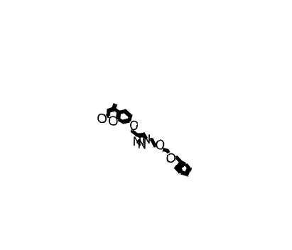 Cc1cc(=O)oc2cc(OCc3cn(CCOCCOCC4CC5C=CC4C5)nn3)ccc12